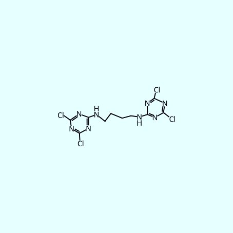 Clc1nc(Cl)nc(NCCCCNc2nc(Cl)nc(Cl)n2)n1